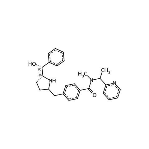 CC(c1ccccn1)N(C)C(=O)c1ccc(CC2CC[C@H]([C@H](O)c3ccccc3)N2)cc1